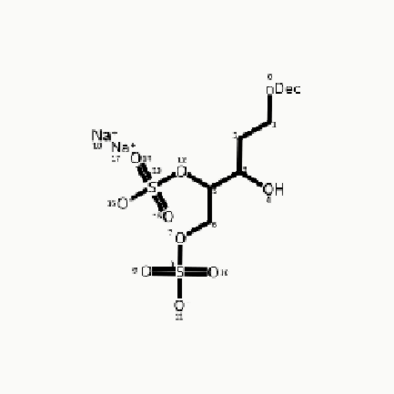 CCCCCCCCCCCCC(O)C(COS(=O)(=O)[O-])OS(=O)(=O)[O-].[Na+].[Na+]